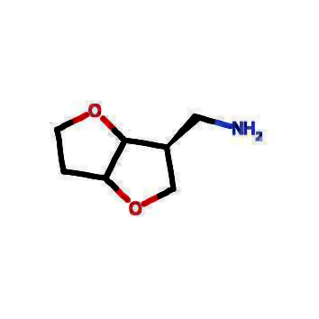 NC[C@H]1COC2CCOC21